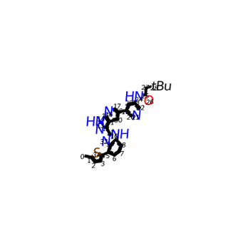 Cc1ccc(-c2cccc3[nH]c(-c4n[nH]c5ncc(-c6cncc(NC(=O)CC(C)(C)C)c6)cc45)nc23)s1